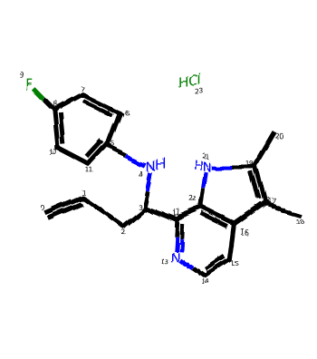 C=CCC(Nc1ccc(F)cc1)c1nccc2c(C)c(C)[nH]c12.Cl